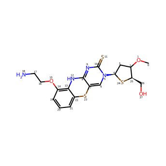 COC1C[C@H](n2cc3c(nc2=S)Nc2c(OCCN)cccc2S3)S[C@@H]1CO